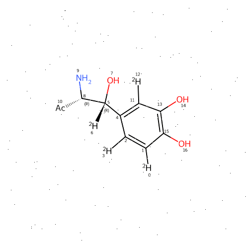 [2H]c1c([2H])c([C@@]([2H])(O)[C@@H](N)C(C)=O)c([2H])c(O)c1O